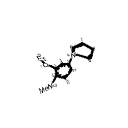 CCOc1cc(N2CCCC2)ccc1NC